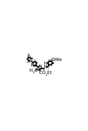 CCOC(=O)c1c(CNCc2ccc(OC)cc2)nc(-c2ccc(N3CC[C@@H](F)C3)nc2)n1C